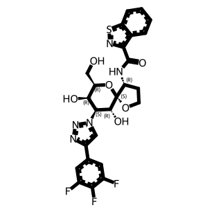 O=C(N[C@@H]1CCO[C@]12O[C@H](CO)[C@H](O)[C@H](n1cc(-c3cc(F)c(F)c(F)c3)nn1)[C@H]2O)c1nsc2ccccc12